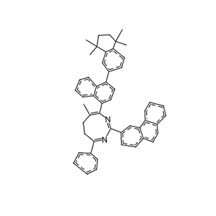 C/C1=C(c2ccc(-c3ccc4c(c3)C(C)(C)CCC4(C)C)c3ccccc23)/N=C(c2ccc3ccc4ccccc4c3c2)\N=C(\c2ccccc2)CC1